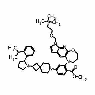 COC(=O)c1ccc(N2CCC3(CC2)CC(N2CCC[C@H]2c2ccccc2C(C)C)C3)cc1N1CCCOc2nc3c(ccn3COCC[Si](C)(C)C)cc21